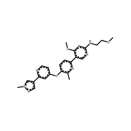 COCCNc1ncc(-c2ccc(Oc3ccnc(-c4cnn(C)c4)c3)c(C)n2)c(OC)n1